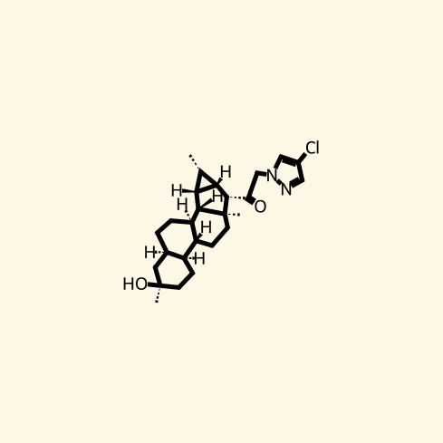 C[C@H]1[C@@H]2[C@H]1[C@H](C(=O)Cn1cc(Cl)cn1)[C@@]1(C)CC[C@H]3[C@@H](CC[C@@H]4C[C@](C)(O)CC[C@@H]43)[C@H]21